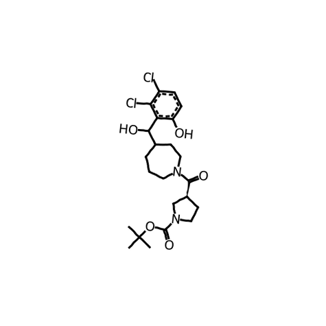 CC(C)(C)OC(=O)N1CC[C@H](C(=O)N2CCCC(C(O)c3c(O)ccc(Cl)c3Cl)CC2)C1